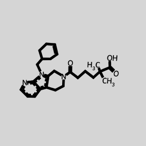 CC(C)(CCCC(=O)N1CCc2c(n(CC3CC=CCC3)c3ncccc23)C1)C(=O)O